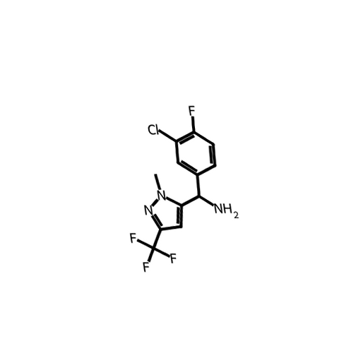 Cn1nc(C(F)(F)F)cc1C(N)c1ccc(F)c(Cl)c1